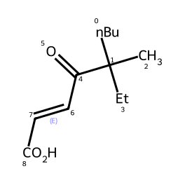 CCCCC(C)(CC)C(=O)/C=C/C(=O)O